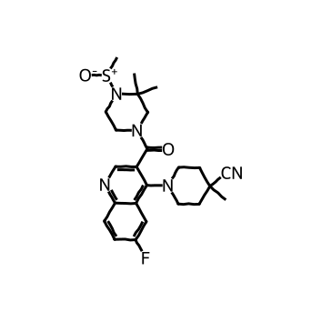 C[S+]([O-])N1CCN(C(=O)c2cnc3ccc(F)cc3c2N2CCC(C)(C#N)CC2)CC1(C)C